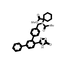 CCCCC(=O)N(Cc1ccc(-c2cc(-c3ccccc3)ccc2-c2noc(=O)[nH]2)cc1)C1(C(=O)OC)CCCCC1